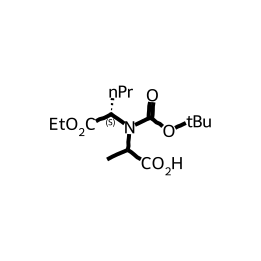 CCC[C@@H](C(=O)OCC)N(C(=O)OC(C)(C)C)C(C)C(=O)O